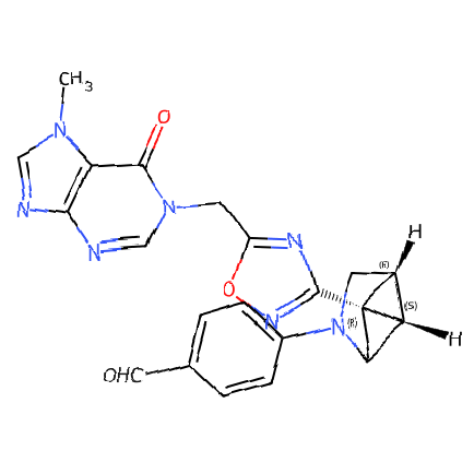 Cn1cnc2ncn(Cc3nc([C@@]45C6[C@H]4[C@H]5CN6c4ccc(C=O)cc4)no3)c(=O)c21